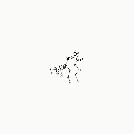 CCC[CH2][Sn+3].CCC[CH2][Sn+3].CO.[O-2].[O-2].[O-2]